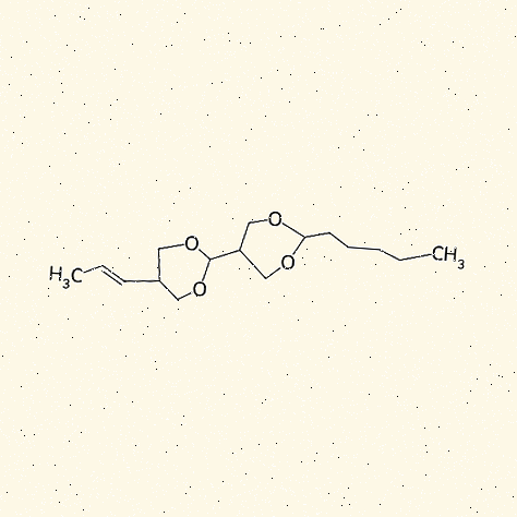 C/C=C/C1COC(C2COC(CCCCC)OC2)OC1